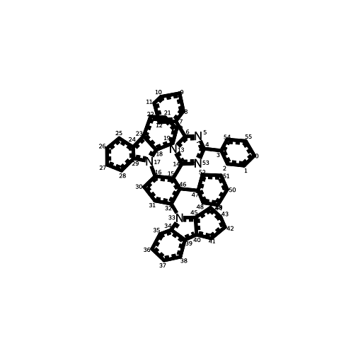 c1ccc(-c2nc(-c3ccccc3)nc(-c3c(-n4c5ccccc5c5ccccc54)ccc(-n4c5ccccc5c5ccccc54)c3-c3ccccc3)n2)cc1